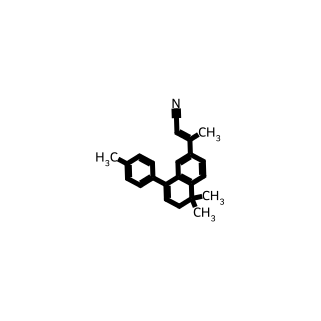 CC(=CC#N)c1ccc2c(c1)C(c1ccc(C)cc1)=CCC2(C)C